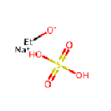 CC[O-].O=S(=O)(O)O.[Na+]